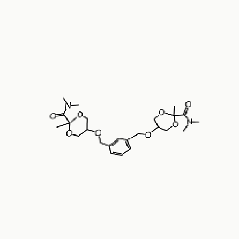 CN(C)C(=O)C1(C)OCC(OCc2cccc(COC3COC(C)(C(=O)N(C)C)OC3)c2)CO1